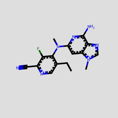 CCc1cnc(C#N)c(F)c1N(C)c1cc2c(ncn2C)c(N)n1